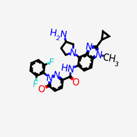 Cn1c(C2CC2)nc2c(N3CCC(N)C3)c(NC(=O)c3ccc(=O)n(-c4c(F)cccc4F)n3)ccc21